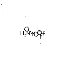 NC1(CCN2CCc3c(ccc(F)c3F)C2)CCCCC1